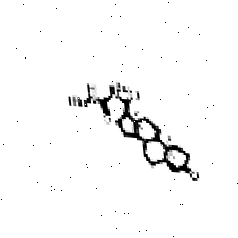 CC(C)(C)NC(=S)N(C(=O)C1CCC2C3CCC4=CC(=O)CC[C@]4(C)C3CC[C@]12C)C(C)(C)C